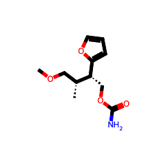 COC[C@@H](C)[C@@H](COC(N)=O)c1ccco1